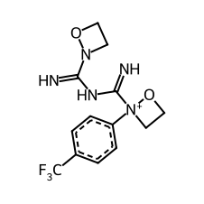 N=C(NC(=N)[N+]1(c2ccc(C(F)(F)F)cc2)CCO1)N1CCO1